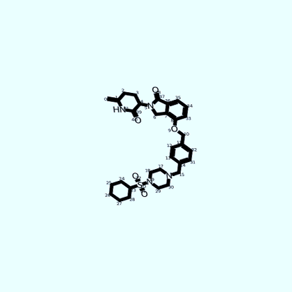 C=C1CCC(N2Cc3c(OCc4ccc(CN5CCN(S(=O)(=O)C6CCCCC6)CC5)cc4)cccc3C2=O)C(=O)N1